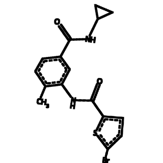 Cc1ccc(C(=O)NC2CC2)cc1NC(=O)c1ccc(Br)s1